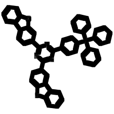 c1ccc([Si](c2ccccc2)(c2ccccc2)c2ccc(-c3nc(-c4ccc5c(c4)oc4ccccc45)nc(-c4ccc5sc6ccccc6c5c4)n3)cc2)cc1